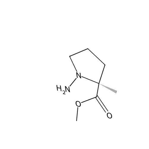 COC(=O)[C@]1(C)CCCN1N